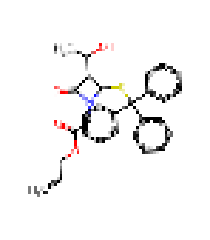 C=CCOC(=O)CN1C(=O)C(C(C)O)C1SC(c1ccccc1)(c1ccccc1)c1ccccc1